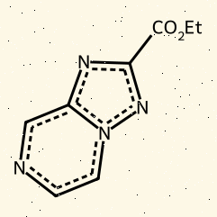 CCOC(=O)c1nc2cnccn2n1